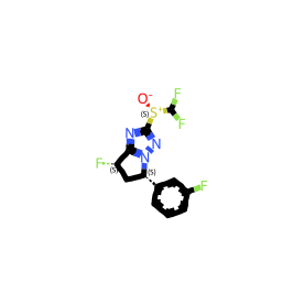 [O-][S@+](c1nc2n(n1)[C@H](c1cccc(F)c1)C[C@@H]2F)C(F)F